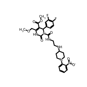 COCC1=C(C(=O)OC)C(c2ccc(F)c(F)c2)N(C(=O)NCCNC2CCN(c3ccccc3[N+](=O)[O-])CC2)C(=O)N1